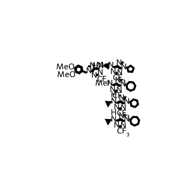 CNc1nc(C(F)(F)F)nc2c1ncn2C1CCCC1.CNc1nc(C(F)(F)F)nc2c1ncn2C1CCCCCC1.COc1ccc(Cn2cnc3c(NC4CC4)nc(C(F)(F)F)nc32)cc1OC.FC(F)(F)c1nc(NC2CC2)c2ncn(C3CCCCC3)c2n1.FC(F)(F)c1nc(NC2CC2)c2ncn(C3CCCCCC3)c2n1